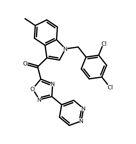 Cc1ccc2c(c1)c(C(=O)c1nc(-c3ccnnc3)no1)cn2Cc1ccc(Cl)cc1Cl